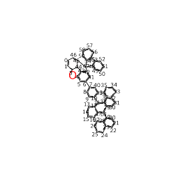 C1=CC2Oc3cc(-c4ccc(-c5c6ccccc6c(-c6cccc7ccccc67)c6ccc7ccccc7c56)cc4)cc4c3C2C(=C1)C4(c1ccccc1)c1ccccc1